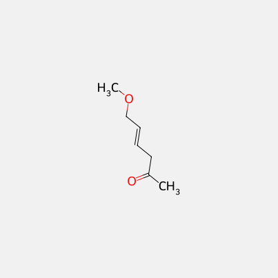 COCC=CCC(C)=O